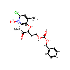 COC(=O)C(CCOC(=O)OCc1ccccc1)OC1=CN(O)C(Cl)C=C1[N+](=O)[O-]